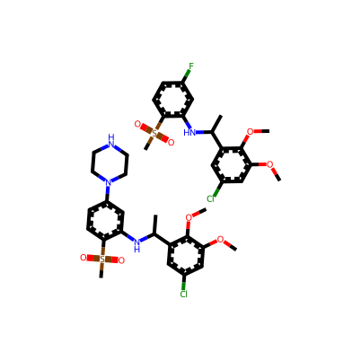 COc1cc(Cl)cc(C(C)Nc2cc(F)ccc2S(C)(=O)=O)c1OC.COc1cc(Cl)cc(C(C)Nc2cc(N3CCNCC3)ccc2S(C)(=O)=O)c1OC